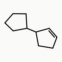 C1=CC(C2CCCC2)CC1